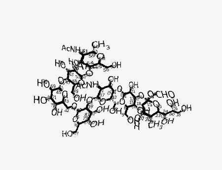 CC(=O)NC1C(O)[C@H](O[C@@H]2OC(CO)[C@H](O)[C@H](O[C@]3(OC=O)C[C@@H](O)[C@@H](C)C([C@@H](O)[C@H](O)CO)O3)C2O)[C@H](CO)O[C@H]1OC1[C@@H](OCC2O[C@@H](O[C@@H]3C(CO)O[C@@H](O[C@@H]4C(CO)O[C@@H](C)C(NC(C)=O)[C@H]4O)C(NC(C)=O)[C@H]3O)C(O)[C@@H](O)[C@@H]2O)OC(CO)[C@@H](O)[C@@H]1O